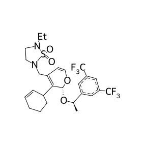 CCN1CCN(CC2=C(C3C=CCCC3)[C@@H](O[C@H](C)c3cc(C(F)(F)F)cc(C(F)(F)F)c3)OC=C2)S1(=O)=O